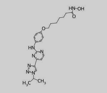 CC(C)n1cc(-c2ccnc(Nc3ccc(OCCCCCCC(=O)NO)cc3)n2)nn1